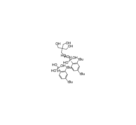 CC(C)(C)c1ccc([PH](O)(O)O)c(C(C)(C)C)c1.CC(C)(C)c1ccc([PH](O)(O)O)c(C(C)(C)C)c1.OCC(CO)(CO)CO